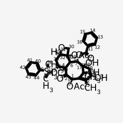 CC(=O)O[C@H]1C(=O)[C@@]2(C)C([C@H](OC(=O)c3ccccc3)[C@]3(O)C[C@H](O)C(C)=C1C3(C)C)[C@]1(OC(C)=O)CO[C@@H]1C[C@@H]2O[Si](C)(C)c1ccccc1